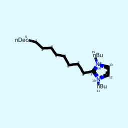 CCCCCCCCCCCCCCCCCCc1n(CCCC)cc[n+]1CCCC